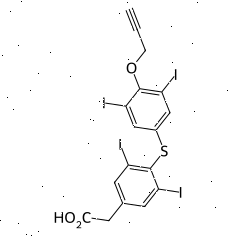 C#CCOc1c(I)cc(Sc2c(I)cc(CC(=O)O)cc2I)cc1I